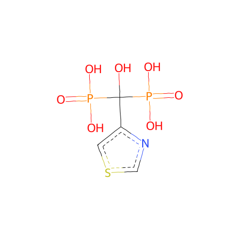 O=P(O)(O)C(O)(c1cscn1)P(=O)(O)O